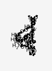 CC[C@H](C)[C@@H]([C@@H](CC(=O)N1CCC[C@H]1[C@H](OC)[C@@H](C)C(=O)N[C@H](CN=[N+]=[N-])Cc1ccc(NC(=O)[C@H](CC(N)=O)NC(=O)[C@H](C)NC(=O)[C@H](C)NC(=O)CCOCCOCCNC(=O)c2ccc3nc(CSC)c(CSC)nc3c2)cc1)OC)N(C)C(=O)[C@@H](NC(=O)[C@H](C(C)C)N(C)C)C(C)C